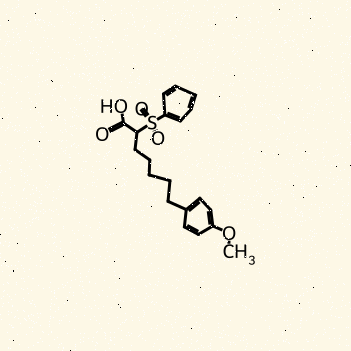 COc1ccc(CCCCCC(C(=O)O)S(=O)(=O)c2ccccc2)cc1